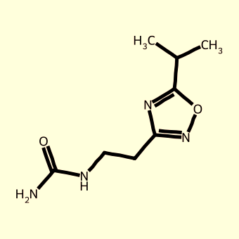 CC(C)c1nc(CCNC(N)=O)no1